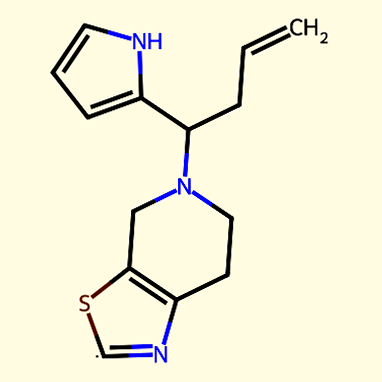 C=CCC(c1ccc[nH]1)N1CCc2n[c]sc2C1